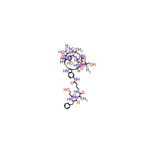 CC(O)[C@H]1NC(=O)[C@H](C)CNC(=O)[C@H](C[C@@](C)(O)CO)NC(=O)[C@@H]2Cc3c([nH]c4ccc(NC(=O)CCCNC(=O)[C@@H](C)NC(=O)[C@@H](Cc5ccccc5)NC(=O)CCO)cc34)SC[C@@H](NC1=O)C(=O)N1C[C@H](O)C[C@H]1C(=O)N[C@@H](C)C(=O)N2